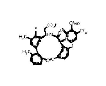 COc1c(C(F)(F)F)ccn(C2C(=O)NC(CC(=O)O)c3cc(cc(C)c3F)-c3c(C)cccc3OCc3ccc(F)c2c3)c1=O